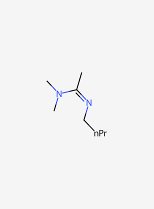 CCCCN=C(C)N(C)C